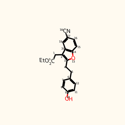 CCOC(=O)Cc1c(CCc2ccc(O)cc2)oc2ccc(C#N)cc12